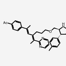 CC(=O)c1ccc(/C(C)=C/C(CCCOC[C@H]2NCC[C@@H]2c2ccc(C)cc2)=C(\C)c2ncccn2)cc1